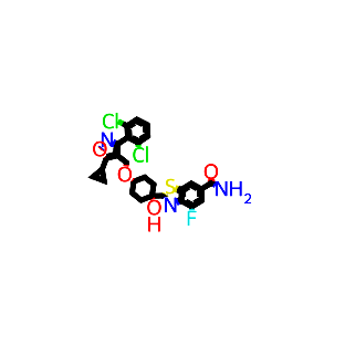 NC(=O)c1cc(F)c2nc(C3(O)CCC(OCc4c(-c5c(Cl)cccc5Cl)noc4C4CC4)CC3)sc2c1